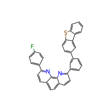 Fc1ccc(-c2ccc3ccc4ccc(-c5cccc(-c6ccc7sc8ccccc8c7c6)c5)nc4c3n2)cc1